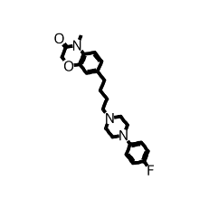 CN1C(=O)COc2cc(CCCCN3CCN(c4ccc(F)cc4)CC3)ccc21